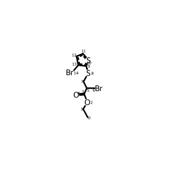 CCOC(=O)C(Br)CSc1sccc1Br